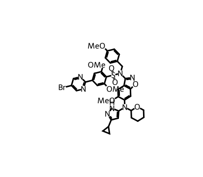 COc1ccc(CN(c2noc3cc(N(c4cc(C5CC5)n[nH]4)C4CCCCO4)c(OC)cc23)S(=O)(=O)c2c(OC)cc(-c3ncc(Br)cn3)cc2OC)cc1